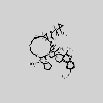 Cc1nc2ccc(OC(F)(F)F)cc2c2c1O[C@@]1(CC2)CN2C(=O)[C@@H](N(C(=O)O)C3CCCC3)CCCCC/C=C\[C@@H]3C[C@@]3(C(=O)NS(=O)(=O)C3(C)CC3)NC(=O)[C@@H]2C1C